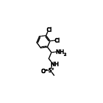 C[S+]([O-])NCC(N)c1cccc(Cl)c1Cl